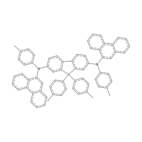 Cc1ccc(N(c2ccc3c(c2)C(c2ccc(C)cc2)(c2ccc(C)cc2)c2cc(N(c4ccc(C)cc4)c4cc5ccccc5c5ccccc45)ccc2-3)c2cc3ccccc3c3ccccc23)cc1